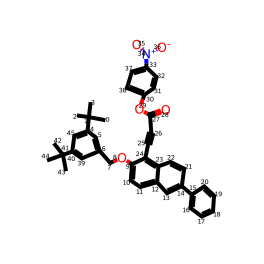 CC(C)(C)c1cc(COc2ccc3cc(-c4ccccc4)ccc3c2C#CC(=O)Oc2ccc([N+](=O)[O-])cc2)cc(C(C)(C)C)c1